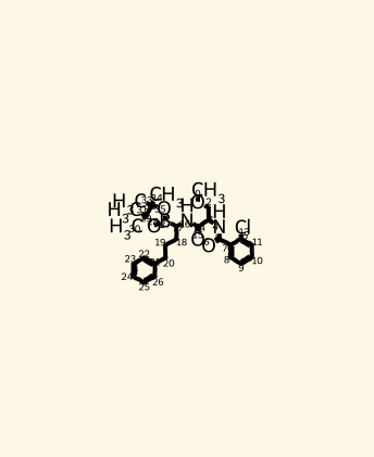 COCC(NC(=O)c1ccccc1Cl)C(=O)NC(CCCc1ccccc1)B1OC(C)(C)C(C)(C)O1